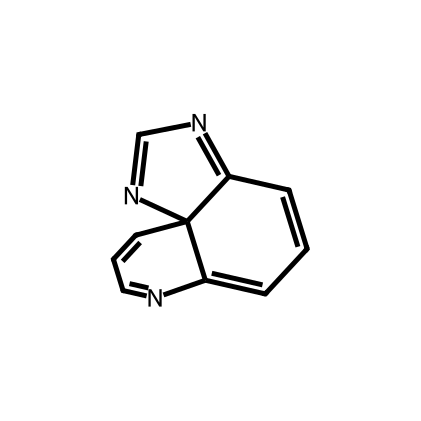 C1=CC2=NC=NC23C=CC=NC3=C1